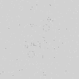 COc1ccc(CC(=O)NC(N/C(Cc2ccccc2C)=N/C#N)C(C)(C)C)cc1OC